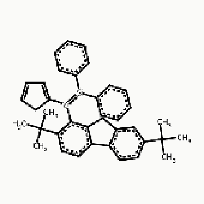 CC(C)(C)c1ccc2c(c1)Cc1c-2ccc(C(C)(C)C)[c]1[Zr]([C]1=CC=CC1)=[Si](c1ccccc1)c1ccccc1